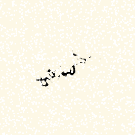 CC1(C)O[C@H]([C@H]2COC(C)(C)O2)[C@@H](C(O)COC(=O)c2ccc(CCC[C@@H]3[C@@H](CCc4cc(Cl)cc(Cl)c4)[C@H](O)C[C@H]3Cl)s2)O1